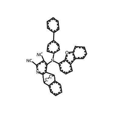 N#Cc1nc2c(c(N(c3ccc(-c4ccccc4)cc3)c3cccc4c3oc3ccccc34)c1C#N)C1CCC2c2ccccc21